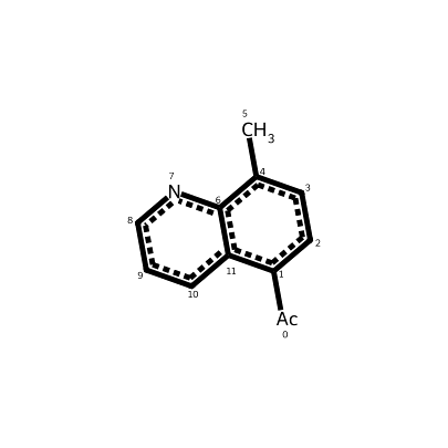 CC(=O)c1ccc(C)c2ncccc12